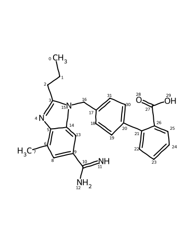 CCCc1nc2c(C)cc(C(=N)N)cc2n1Cc1ccc(-c2ccccc2C(=O)O)cc1